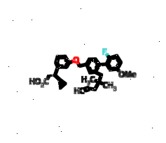 C#CCC(C)(C)Cc1cc(COc2cccc([C@@H](CC(=O)O)C3CC3)c2)ccc1-c1cc(OC)ccc1F